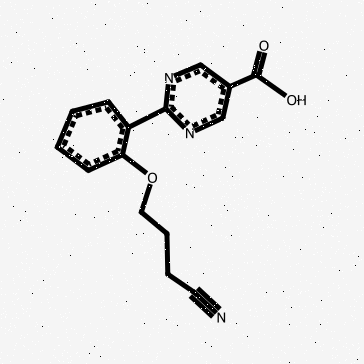 N#CCCCOc1ccccc1-c1ncc(C(=O)O)cn1